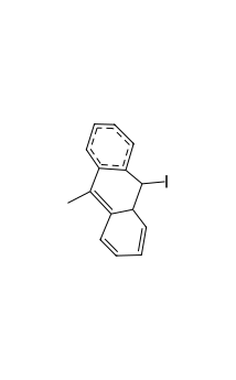 CC1=C2C=CC=CC2C(I)c2ccccc21